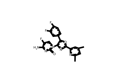 Cc1cc(C)nc(-c2nc(-n3cc(F)c(N)nc3=O)c(-c3ccc(F)c(F)c3)o2)c1